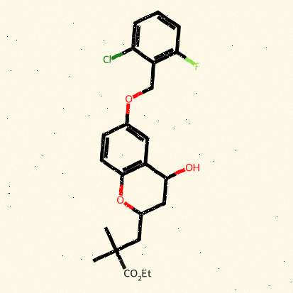 CCOC(=O)C(C)(C)CC1CC(O)c2cc(OCc3c(F)cccc3Cl)ccc2O1